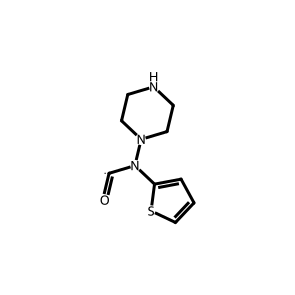 O=[C]N(c1cccs1)N1CCNCC1